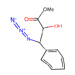 COC(=O)C(O)C(N=[N+]=[N-])c1ccccc1